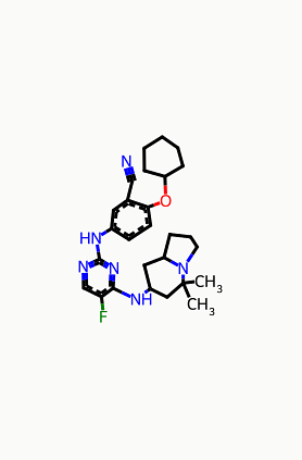 CC1(C)CC(Nc2nc(Nc3ccc(OC4CCCCC4)c(C#N)c3)ncc2F)CC2CCCN21